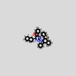 c1ccc2cc(-c3nc(-n4c5ccccc5c5c6ccccc6c6sc7ccccc7c6c54)nc4c3oc3ccccc34)ccc2c1